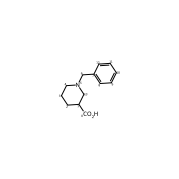 O=C(O)C1CCCN(Cc2ccccc2)C1